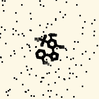 COc1cc(O)c(-c2ccnn2-c2ccccc2C)cc1S(N)(=O)=O